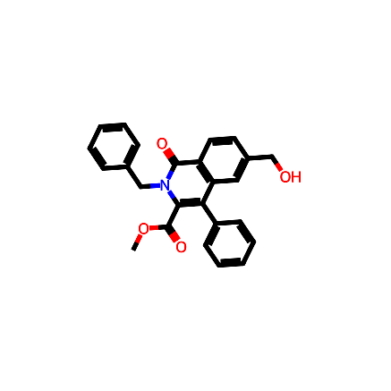 COC(=O)c1c(-c2ccccc2)c2cc(CO)ccc2c(=O)n1Cc1ccccc1